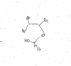 CCC(O[PH](=O)O)=C(Br)Br